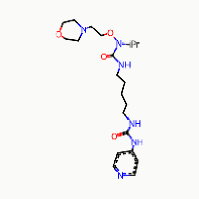 CC(C)N(OCCN1CCOCC1)C(=O)NCCCCCNC(=O)Nc1ccncc1